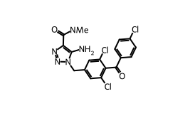 CNC(=O)c1nnn(Cc2cc(Cl)c(C(=O)c3ccc(Cl)cc3)c(Cl)c2)c1N